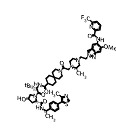 COc1cc2nn(CCN3CCN(CC(=O)N4CCC5(CCC(C(=O)N[C@H](C(=O)N6C[C@H](O)C[C@H]6C(=O)N[C@@H](C)c6ccc(-c7scnc7C)cc6)C(C)(C)C)CC5)CC4)[C@@H](C)C3)cc2cc1NC(=O)c1cccc(C(F)(F)F)n1